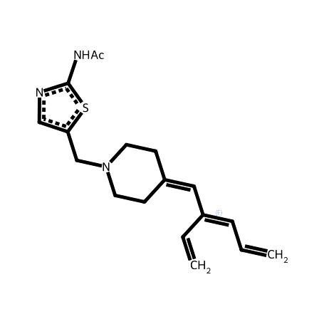 C=C/C=C(\C=C)C=C1CCN(Cc2cnc(NC(C)=O)s2)CC1